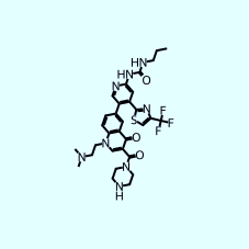 CCCNC(=O)Nc1cc(-c2nc(C(F)(F)F)cs2)c(-c2ccc3c(c2)c(=O)c(C(=O)N2CCNCC2)cn3CCN(C)C)cn1